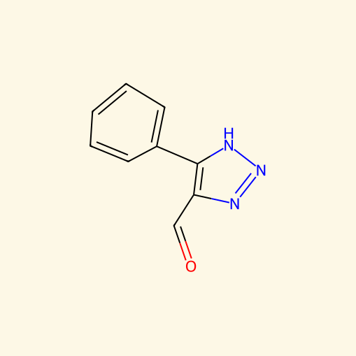 O=Cc1nn[nH]c1-c1ccccc1